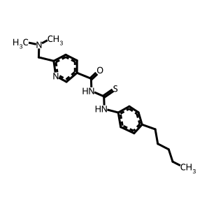 CCCCCc1ccc(NC(=S)NC(=O)c2ccc(CN(C)C)nc2)cc1